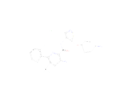 Cl.Nc1cc(C(F)(F)F)c(-c2c(F)cccc2F)nc1C(=O)Nc1cnsc1OC1CCC(N)CC1